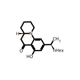 CCCCCC[C@H](C)c1cc(O)c2c(c1)N1CCCC[C@H]1CC2=O